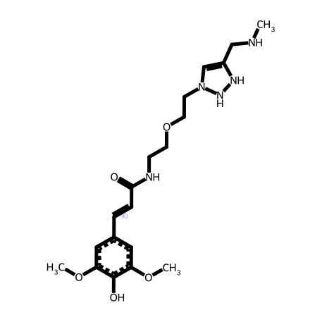 CNCC1=CN(CCOCCNC(=O)/C=C/c2cc(OC)c(O)c(OC)c2)NN1